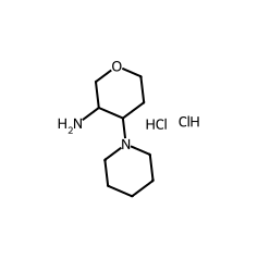 Cl.Cl.NC1COCCC1N1CCCCC1